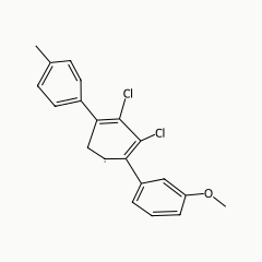 COc1cccc(C2=C(Cl)C(Cl)=C(c3ccc(C)cc3)C[CH]2)c1